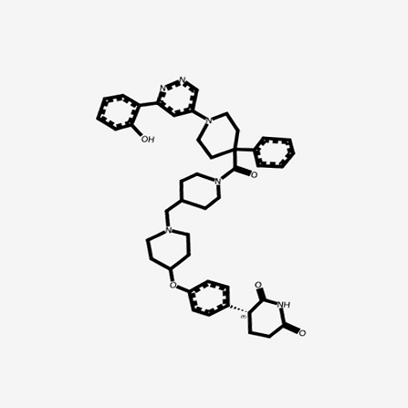 O=C1CC[C@H](c2ccc(OC3CCN(CC4CCN(C(=O)C5(c6ccccc6)CCN(c6cnnc(-c7ccccc7O)c6)CC5)CC4)CC3)cc2)C(=O)N1